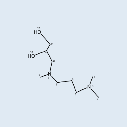 CN(C)CCCN(C)CC(O)CO